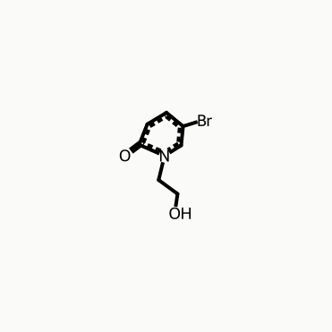 O=c1ccc(Br)cn1CCO